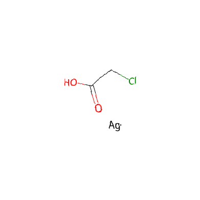 O=C(O)CCl.[Ag]